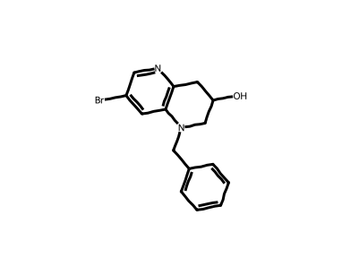 OC1Cc2ncc(Br)cc2N(Cc2ccccc2)C1